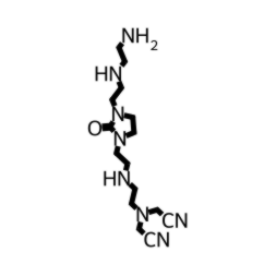 N#CCN(CC#N)CCNCCN1CCN(CCNCCN)C1=O